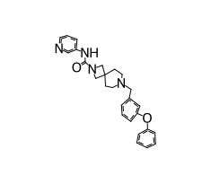 O=C(Nc1cccnc1)N1CC2(CCN(Cc3cccc(Oc4ccccc4)c3)CC2)C1